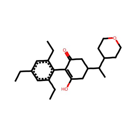 CCc1cc(CC)c(C2=C(O)CC(C(C)C3CCOCC3)CC2=O)c(CC)c1